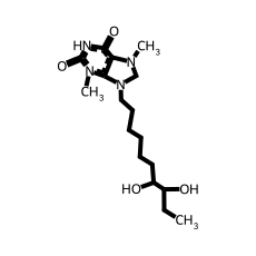 CCC(O)C(O)CCCCCCN1CN(C)c2c1n(C)c(=O)[nH]c2=O